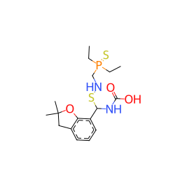 CCP(=S)(CC)CNSC(NC(=O)O)c1cccc2c1OC(C)(C)C2